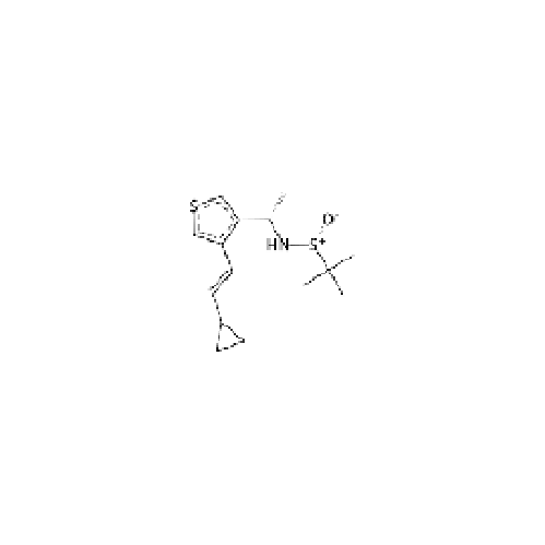 C[C@H](N[S@+]([O-])C(C)(C)C)c1cscc1/C=C/C1CC1